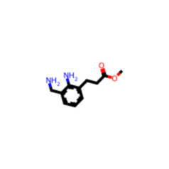 COC(=O)CCc1cccc(CN)c1N